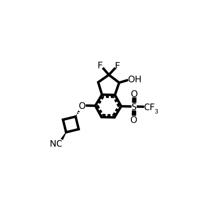 N#C[C@H]1C[C@H](Oc2ccc(S(=O)(=O)C(F)(F)F)c3c2CC(F)(F)C3O)C1